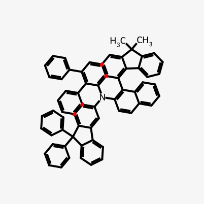 CC1(C)c2ccccc2-c2c(-c3c(N(c4ccc5c(c4)-c4ccccc4C5(c4ccccc4)c4ccccc4)c4cccc(-c5ccccc5)c4-c4ccccc4)ccc4ccccc34)cccc21